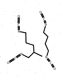 CC(CCCN=C=O)CN=C=O.O=C=NCCCCN=C=O